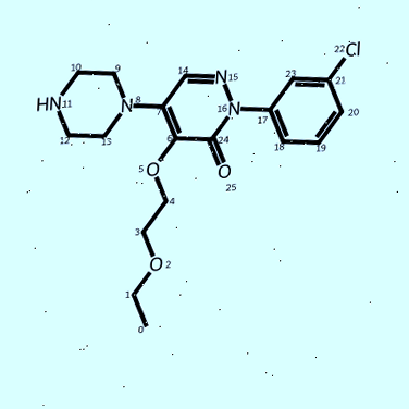 CCOCCOc1c(N2CCNCC2)cnn(-c2cccc(Cl)c2)c1=O